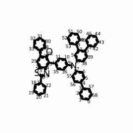 c1ccc(-c2ccc(N(c3ccc(-c4c5nc(-c6ccccc6)sc5cc5c4oc4ccccc45)cc3)c3ccc(-c4ccccc4)c(-c4ccccc4)c3)cc2)cc1